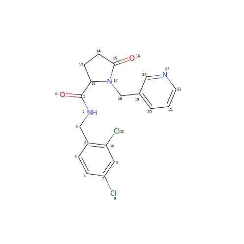 O=C(NCc1ccc(Cl)cc1Cl)C1CCC(=O)N1Cc1cccnc1